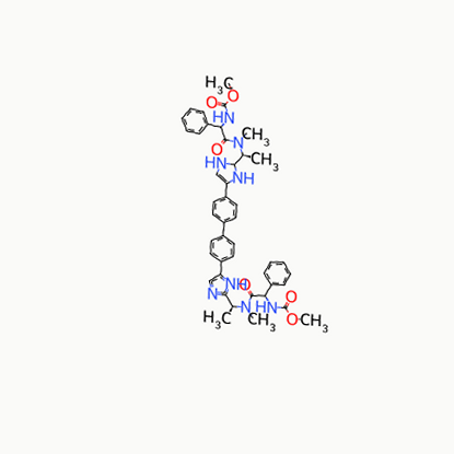 COC(=O)N[C@@H](C(=O)N(C)[C@@H](C)c1ncc(-c2ccc(-c3ccc(C4=CNC([C@H](C)N(C)C(=O)[C@H](NC(=O)OC)c5ccccc5)N4)cc3)cc2)[nH]1)c1ccccc1